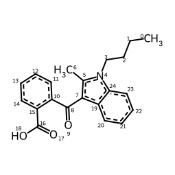 CCCCn1c(C)c(C(=O)c2ccccc2C(=O)O)c2ccccc21